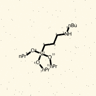 CCCCNCCC[Si](OCCC)(OCCC)OCCC